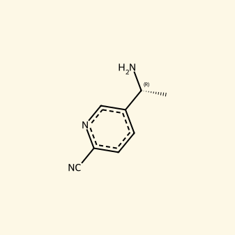 C[C@@H](N)c1ccc(C#N)nc1